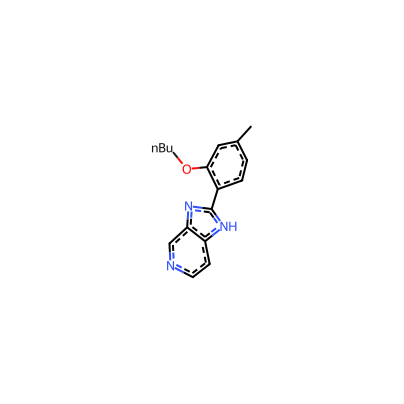 CCCCOc1cc(C)ccc1-c1nc2cnccc2[nH]1